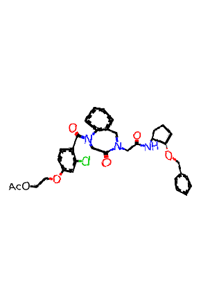 CC(=O)OCCOc1ccc(C(=O)N2CC(=O)N(CC(=O)NC3CCC[C@@H]3OCc3ccccc3)Cc3ccccc32)c(Cl)c1